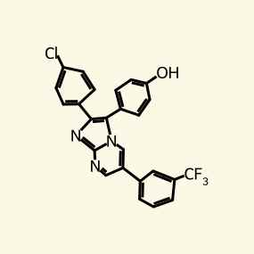 Oc1ccc(-c2c(-c3ccc(Cl)cc3)nc3ncc(-c4cccc(C(F)(F)F)c4)cn23)cc1